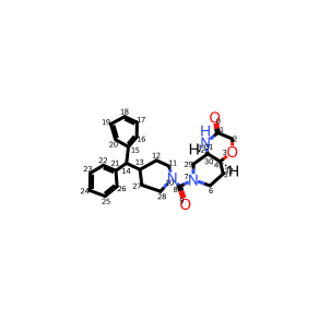 O=C1CO[C@H]2CCN(C(=O)N3CCC(C(c4ccccc4)c4ccccc4)CC3)C[C@H]2N1